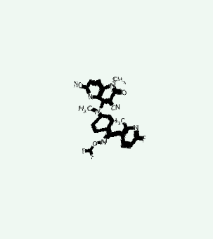 Cc1nc(F)ccc1/C(=N/OC(F)F)C1CCC(N(C)c2c(C#N)c(=O)n(C)c3ccc(C#N)nc23)CC1